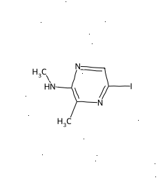 CNc1ncc(I)nc1C